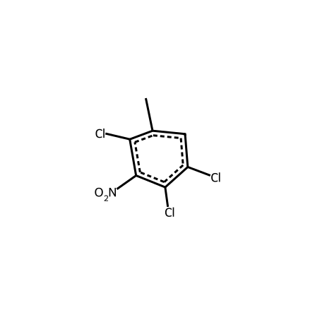 Cc1cc(Cl)c(Cl)c([N+](=O)[O-])c1Cl